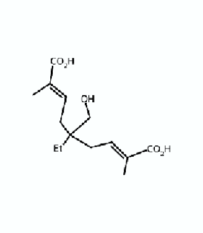 CCC(CO)(CC=C(C)C(=O)O)CC=C(C)C(=O)O